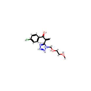 C=C(C(=O)c1ccc(F)cc1)c1nnnn1COCCOC